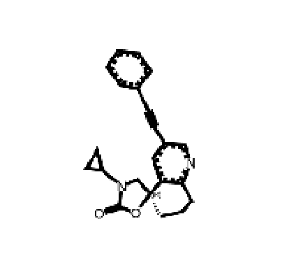 O=C1O[C@@]2(CCCc3ncc(C#Cc4ccccc4)cc32)CN1C1CC1